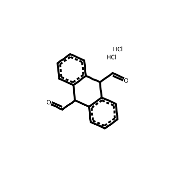 Cl.Cl.O=CC1c2ccccc2C(C=O)c2ccccc21